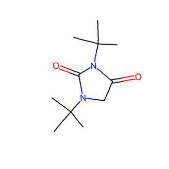 CC(C)(C)N1CC(=O)N(C(C)(C)C)C1=O